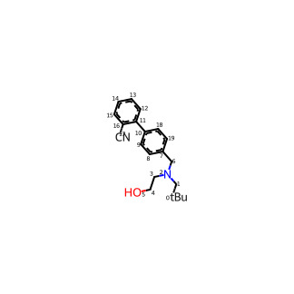 CC(C)(C)CN(CCO)Cc1ccc(-c2ccccc2C#N)cc1